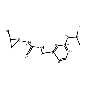 C[C@@H]1C[C@H]1NC(=O)NCc1ccnc(OC(F)F)c1